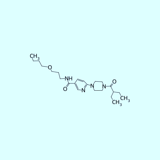 CCCCOCCCNC(=O)c1ccc(N2CCN(C(=O)C(CC)CC)CC2)nc1